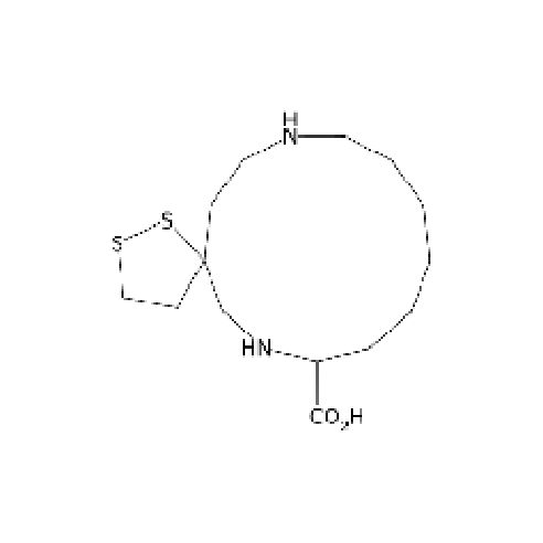 O=C(O)C1CCCCCCNCCC2(CCSS2)CN1